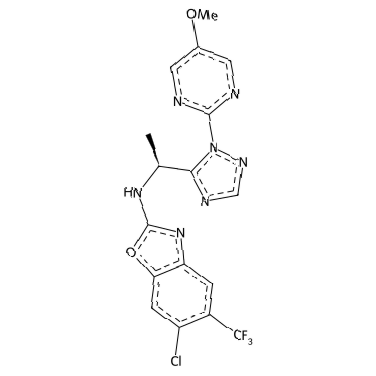 COc1cnc(-n2ncnc2[C@H](C)Nc2nc3cc(C(F)(F)F)c(Cl)cc3o2)nc1